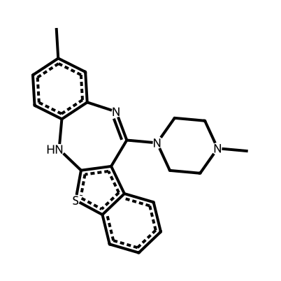 Cc1ccc2c(c1)N=C(N1CCN(C)CC1)c1c(sc3ccccc13)N2